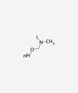 CCCOCN(C)I